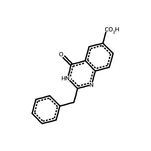 O=C(O)c1ccc2nc(Cc3ccccc3)[nH]c(=O)c2c1